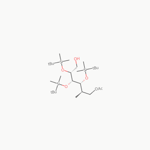 CC(=O)OC[C@@H](C)[C@@H](O[Si](C)(C)C(C)(C)C)[C@H](O[Si](C)(C)C(C)(C)C)[C@@H](CO)O[Si](C)(C)C(C)(C)C